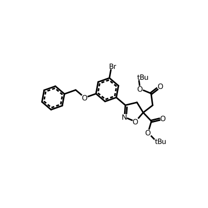 CC(C)(C)OC(=O)CC1(C(=O)OC(C)(C)C)CC(c2cc(Br)cc(OCc3ccccc3)c2)=NO1